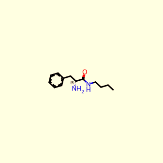 CCCCNC(=O)[C@H](N)Cc1ccccc1